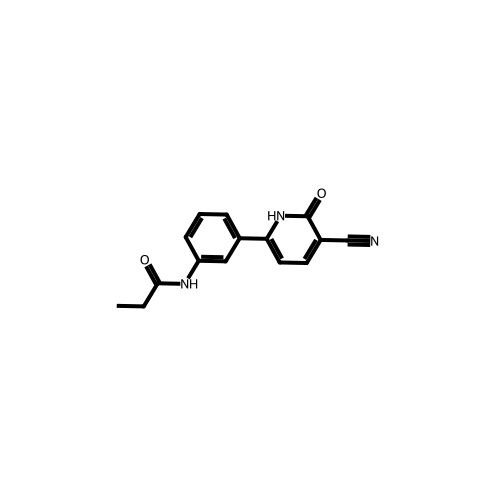 CCC(=O)Nc1cccc(-c2ccc(C#N)c(=O)[nH]2)c1